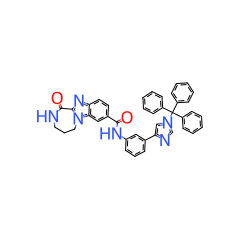 O=C(Nc1cccc(-c2cn(C(c3ccccc3)(c3ccccc3)c3ccccc3)cn2)c1)c1ccc2nc3n(c2c1)CCCNC3=O